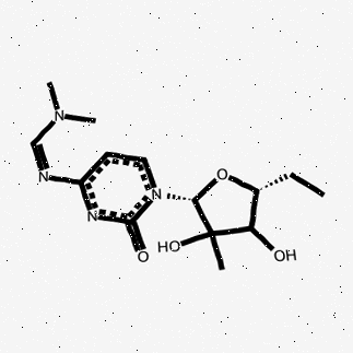 CC[C@H]1O[C@@H](n2ccc(/N=C\N(C)C)nc2=O)C(C)(O)C1O